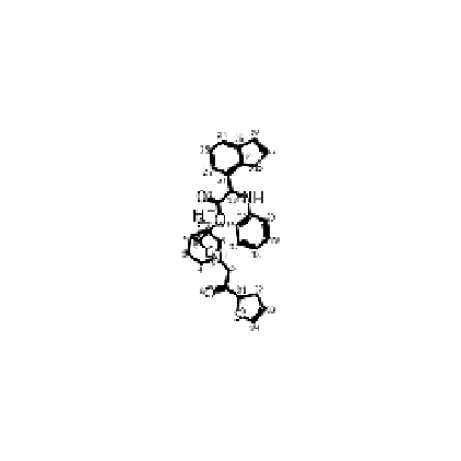 O=C(C[N+]12CCC(CC1)[C@@H](OC(=O)C(Nc1ccccc1)c1cccc3ccsc13)C2)C1CC=CS1